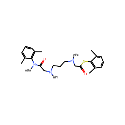 CCCCN(CCCN(CCC)CC(=O)N(CCCC)c1c(C)cccc1C)CC(=O)Sc1c(C)cccc1C